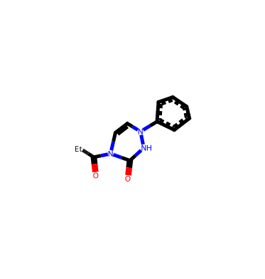 CCC(=O)N1C=CN(c2ccccc2)NC1=O